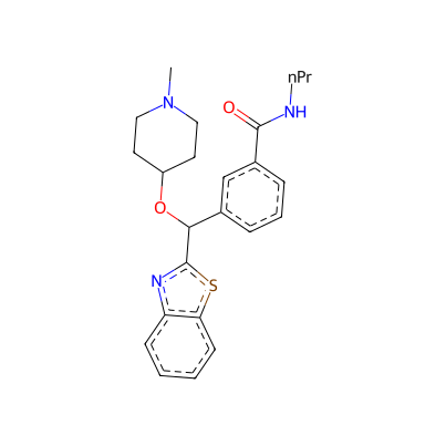 CCCNC(=O)c1cccc(C(OC2CCN(C)CC2)c2nc3ccccc3s2)c1